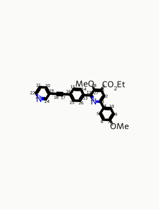 CCOC(=O)c1cc(-c2ccc(OC)cc2)nc(-c2ccc(C#Cc3cccnc3)cc2)c1OC